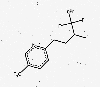 CCCC(F)(F)C(C)CCc1ccc(C(F)(F)F)cn1